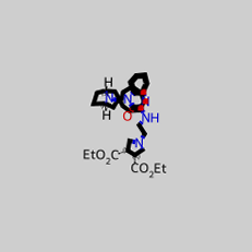 CCOC(=O)[C@H]1CN(CCNc2nc3ccccc3n([C@H]3C[C@H]4CC[C@@H](C3)N4C3CCCCCCC3)c2=O)C[C@H]1C(=O)OCC